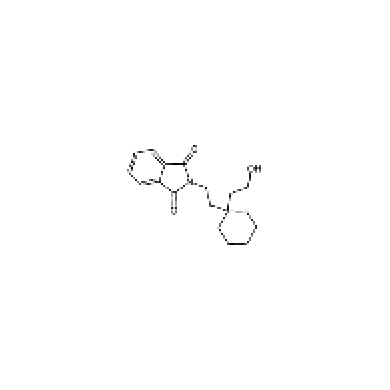 O=C1c2ccccc2C(=O)N1CCC1(CCO)CCCCC1